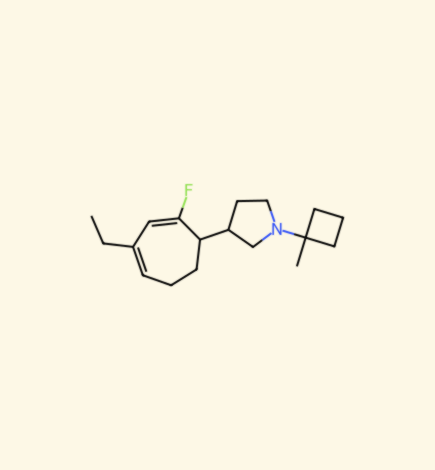 CCC1=CCCC(C2CCN(C3(C)CCC3)C2)C(F)=C1